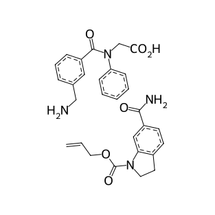 C=CCOC(=O)N1CCc2ccc(C(N)=O)cc21.NCc1cccc(C(=O)N(CC(=O)O)c2ccccc2)c1